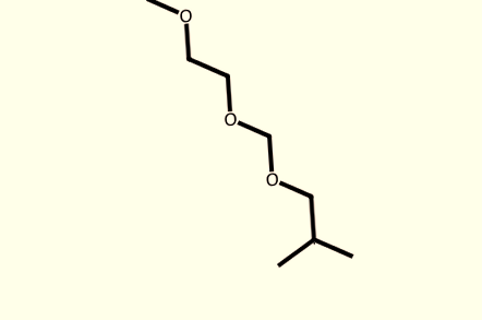 COCCOCOC[C](C)C